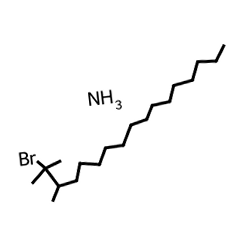 CCCCCCCCCCCCCCC(C)C(C)(C)Br.N